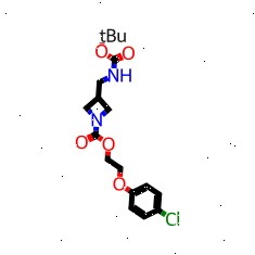 CC(C)(C)OC(=O)NCC1CN(C(=O)OCCOc2ccc(Cl)cc2)C1